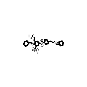 CCCc1cc(S(=O)(=O)c2ccc(CCNCc3ccccc3)cc2)cc(C(=O)OC)c1OCc1ccccc1